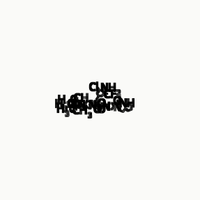 CN1C(C)(C)CN(C2CCN(C(=O)[C@@H](Cc3cc(Cl)c(N)c(C(F)(F)F)c3)OC(=O)N3CCC(N4CCc5ccccc5NC4=O)CC3)CC2)CC1(C)C